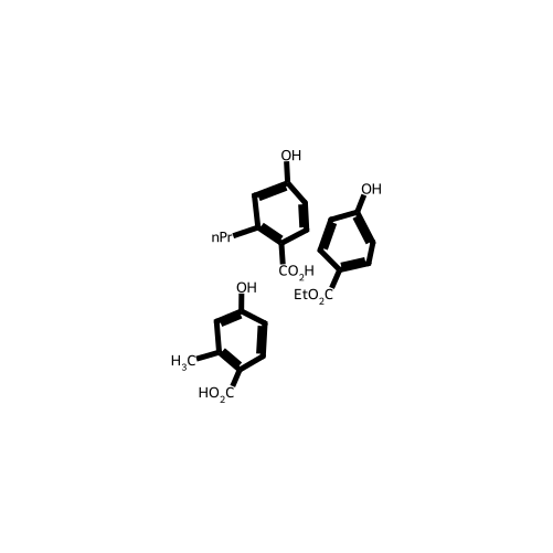 CCCc1cc(O)ccc1C(=O)O.CCOC(=O)c1ccc(O)cc1.Cc1cc(O)ccc1C(=O)O